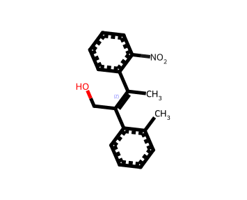 C/C(=C(/CO)c1ccccc1C)c1ccccc1[N+](=O)[O-]